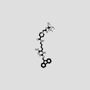 CC(C)(C)OC(=O)CN1CCC(C(=O)NCCCCC(NC(=O)OCC2c3ccccc3-c3ccccc32)C(=O)O)CC1